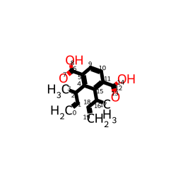 C=CC(C)c1c(C(=O)O)ccc(C(=O)O)c1C(C)C=C